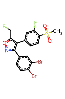 CS(=O)(=O)c1ccc(-c2c(-c3ccc(Br)c(Br)c3)noc2CF)cc1F